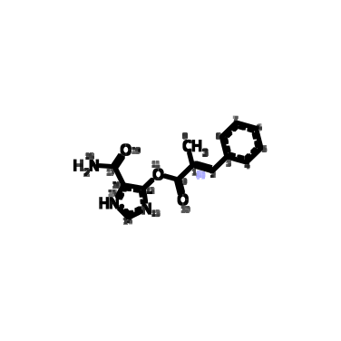 C/C(=C\c1ccccc1)C(=O)Oc1nc[nH]c1C(N)=O